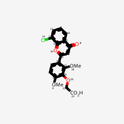 COc1ccc(-c2cc(=O)c3cccc(Cl)c3o2)c(OC)c1OCC(=O)O